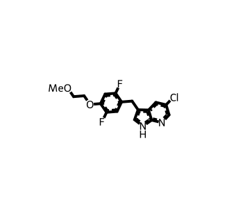 COCCOc1cc(F)c(Cc2c[nH]c3ncc(Cl)cc23)cc1F